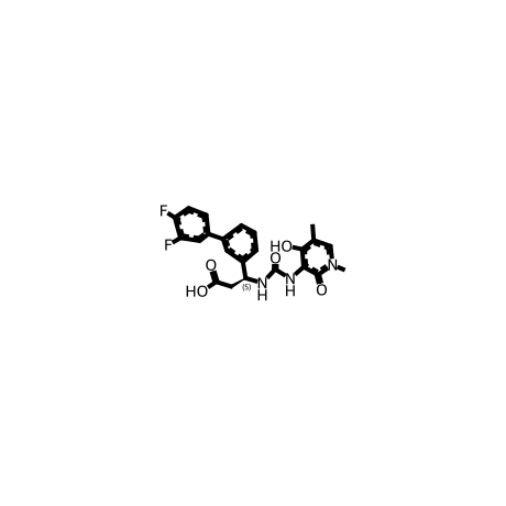 Cc1cn(C)c(=O)c(NC(=O)N[C@@H](CC(=O)O)c2cccc(-c3ccc(F)c(F)c3)c2)c1O